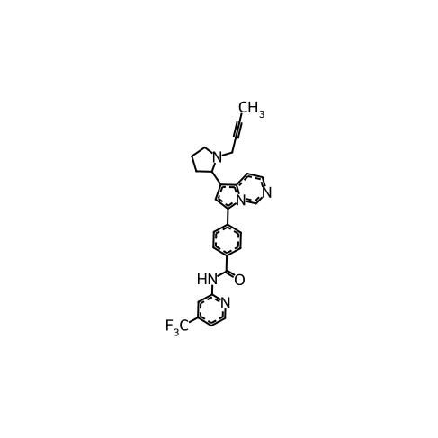 CC#CCN1CCCC1c1cc(-c2ccc(C(=O)Nc3cc(C(F)(F)F)ccn3)cc2)n2cnccc12